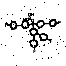 OB(O)OC(c1ccc(-c2ccc(F)cc2)cc1)(c1ccc(-c2ccc(F)cc2)cc1)c1ccc(-c2ccc(F)cc2)c(-c2ccc(F)cc2)c1